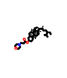 CC[C@H](CC[C@@H](C)[C@H]1CC[C@H]2[C@@H]3CC=C4C[C@@H](OC(=O)CCN5CCOCC5)CC[C@]4(C)[C@H]3CC[C@]12C)C(C)C